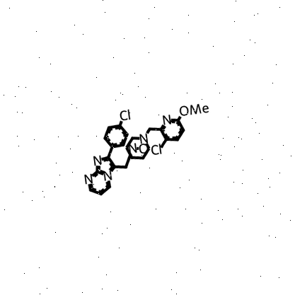 COc1ccc(Cl)c(CN2CC3CCC2CN3Cc2c(-c3ccc(Cl)cc3)nc3ncccn23)n1